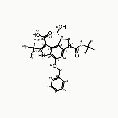 CC(C)(C)OC(=O)N1C[C@@H](CO)c2c1cc(OCc1ccccc1)c1[nH]c(C(F)(F)F)c(C(=O)O)c21